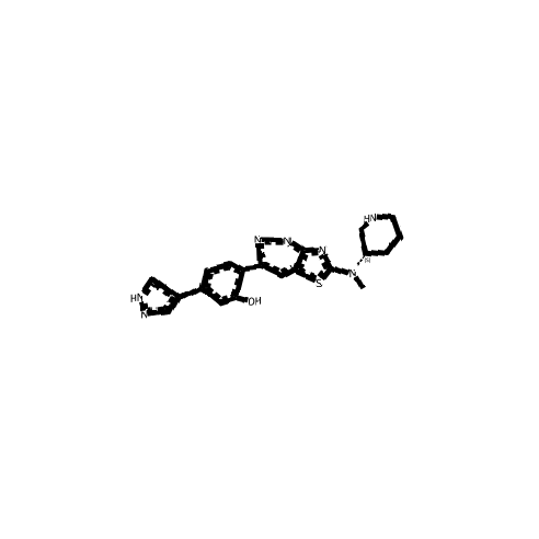 CN(c1nc2nnc(-c3ccc(-c4cn[nH]c4)cc3O)cc2s1)[C@H]1CCCNC1